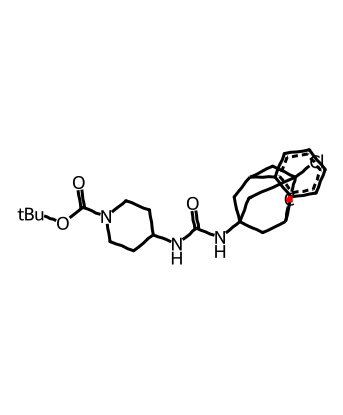 CC(C)(C)OC(=O)N1CCC(NC(=O)NC23CC4CC(Cl)(CC(C2)c2ccccc24)C3)CC1